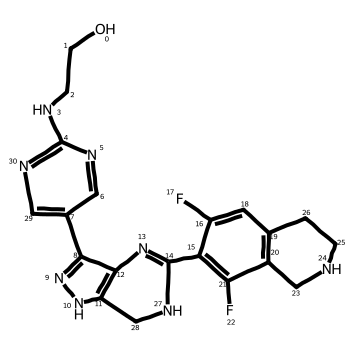 OCCNc1ncc(-c2n[nH]c3c2N=C(c2c(F)cc4c(c2F)CNCC4)NC3)cn1